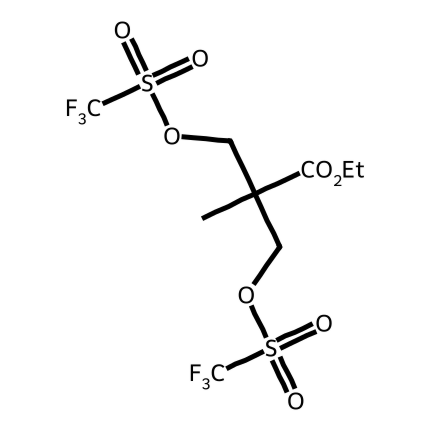 CCOC(=O)C(C)(COS(=O)(=O)C(F)(F)F)COS(=O)(=O)C(F)(F)F